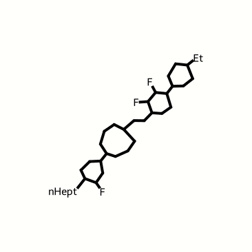 CCCCCCCC1CCC(C2CCCC(CCC3CCC(C4CCC(CC)CC4)C(F)C3F)CCC2)CC1F